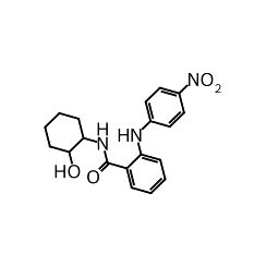 O=C(NC1CCCCC1O)c1ccccc1Nc1ccc([N+](=O)[O-])cc1